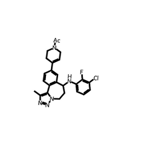 CC(=O)N1CC=C(c2ccc3c(c2)C(Nc2cccc(Cl)c2F)CCn2nnc(C)c2-3)CC1